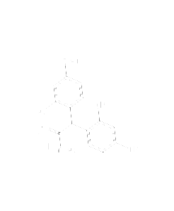 C=C(CCCC)C(c1ccc(C(C)(C)C)cc1C(C)(C)C)c1ccc(C(C)(C)C)cc1C(C)(C)C.P